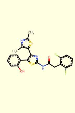 Cc1nc(C)c(-c2nc(NC(=O)Cc3c(F)cccc3F)sc2-c2ccccc2O)s1